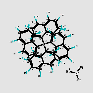 CC[Si+](CC)CC.Fc1c(F)c(F)c2c([B-](c3c(F)c(F)c(F)c4c(F)c(F)c(F)c(F)c34)(c3c(F)c(F)c(F)c4c(F)c(F)c(F)c(F)c34)c3c(F)c(F)c(F)c4c(F)c(F)c(F)c(F)c34)c(F)c(F)c(F)c2c1F